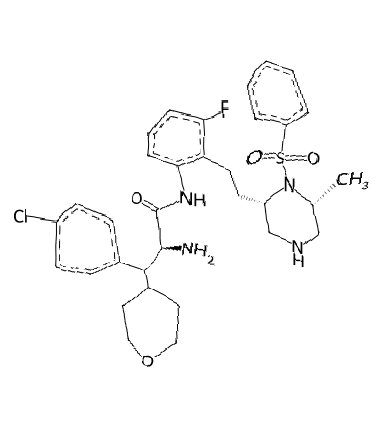 C[C@@H]1CNC[C@H](CCc2c(F)cccc2NC(=O)[C@@H](N)C(c2ccc(Cl)cc2)C2CCOCC2)N1S(=O)(=O)c1ccccc1